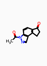 CC(=O)n1ncc2c3c(ccc21)C(=O)CC3